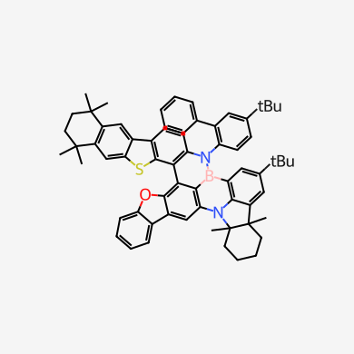 CC(C)(C)c1ccc(N2B3c4cc(C(C)(C)C)cc5c4N(c4cc6c(oc7ccccc76)c(c43)-c3c2ccc2c3sc3cc4c(cc32)C(C)(C)CCC4(C)C)C2(C)CCCCC52C)c(-c2ccccc2)c1